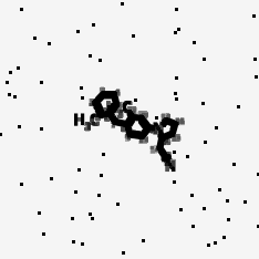 Cc1ccccc1Cc1ccc(N2CCCC2CC#N)cc1C